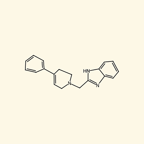 C1=C(c2ccccc2)CCN(Cc2nc3ccccc3[nH]2)C1